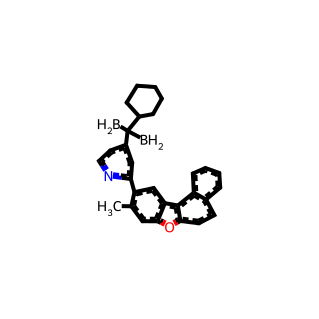 BC(B)(c1ccnc(-c2cc3c(cc2C)oc2ccc4ccccc4c23)c1)C1CCCCC1